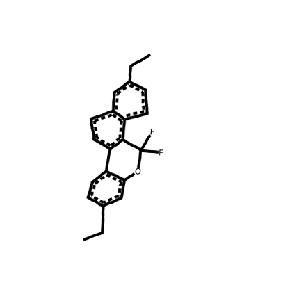 CCc1ccc2c(c1)OC(F)(F)c1c-2ccc2cc(CC)ccc12